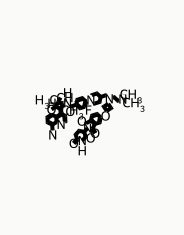 CN(C)CCN(CC1CCN(c2ccc(C(=O)NC3C(C)(C)[C@@H]4Oc5ccc(C#N)c6nccc(c56)C34C)cc2F)CC1)C1CC(Oc2ccc3c(c2)C(=O)N(C2CCC(=O)NC2=O)C3=O)C1